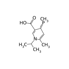 C/P=c1/cc(C)n(C(C)C)cc1C(=O)O